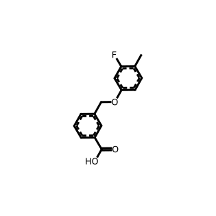 Cc1ccc(OCc2cccc(C(=O)O)c2)cc1F